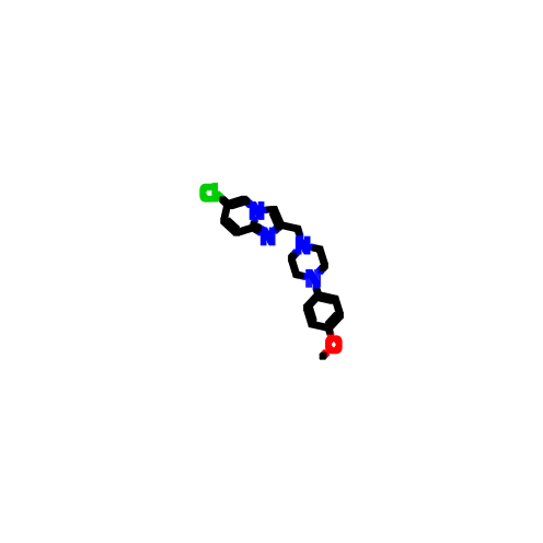 COc1ccc(N2CCN(Cc3cn4cc(Cl)ccc4n3)CC2)cc1